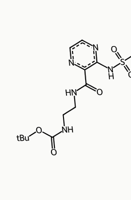 CC(C)(C)OC(=O)NCCNC(=O)c1nccnc1NS(C)(=O)=O